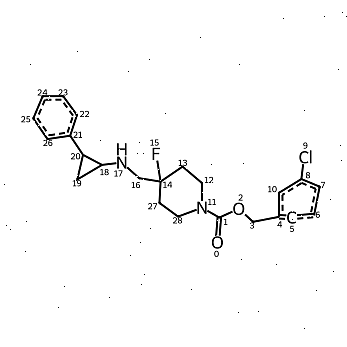 O=C(OCc1cccc(Cl)c1)N1CCC(F)(CNC2CC2c2ccccc2)CC1